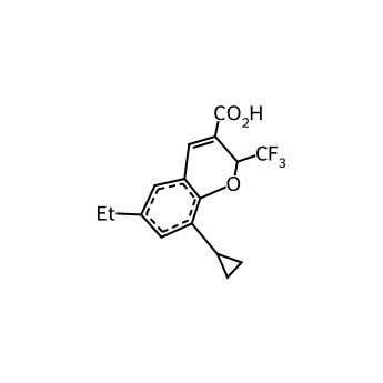 CCc1cc2c(c(C3CC3)c1)OC(C(F)(F)F)C(C(=O)O)=C2